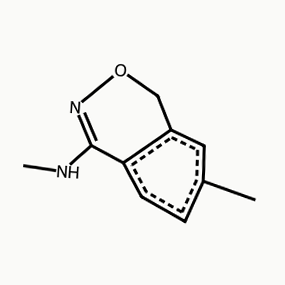 CNC1=NOCc2cc(C)ccc21